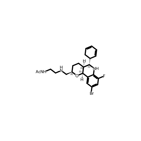 CC(=O)NCCNC[C@H]1CC[C@@H]2[C@H](O1)c1cc(Br)cc(F)c1N[C@H]2C1C=CC=CC1